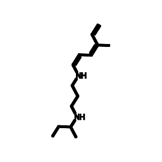 C=C/C(C)=C\C=C/NCCCNC(C)CC